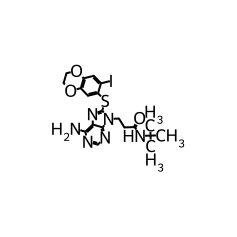 CC(C)(C)NC(=O)CCn1c(Sc2cc3c(cc2I)OCCO3)nc2c(N)ncnc21